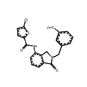 O=Cc1cccc(CN2Cc3c(NC(=O)c4ccc(Cl)s4)cccc3C2=O)c1